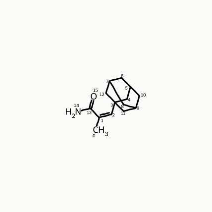 CC(=CC12CC3CC(CC(C3)C1)C2)C(N)=O